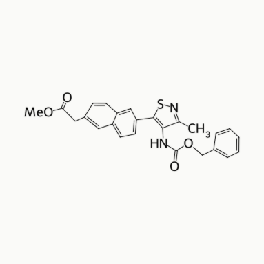 COC(=O)Cc1ccc2cc(-c3snc(C)c3NC(=O)OCc3ccccc3)ccc2c1